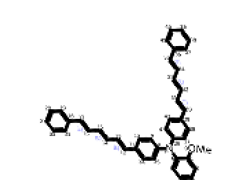 COc1ccccc1N(c1ccc(/C=C/C=C/C=C/c2ccccc2)cc1)c1ccc(/C=C/C=C/C=C/c2ccccc2)cc1